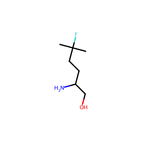 CC(C)(F)CCC(N)CO